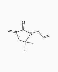 C=CCN1C(=O)C(=C)CC1(C)C